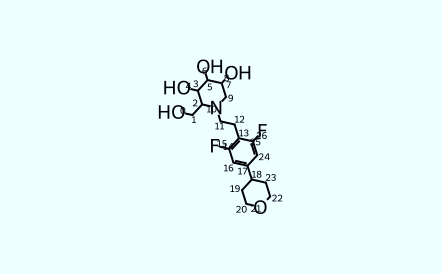 OCC1C(O)C(O)C(O)CN1CCc1c(F)cc(C2CCOCC2)cc1F